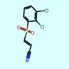 N#CC=CS(=O)(=O)c1cccc(Cl)c1Cl